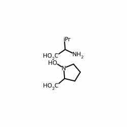 CC(C)C(N)C(=O)O.O=C(O)C1CCCN1O